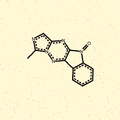 Cc1ncc2nc3c(nn12)-c1ccccc1[N+]3=O